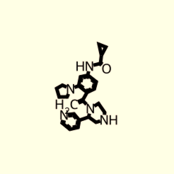 C=C(c1ccc(NC(=O)C2CC2)cc1N1CCCC1)N1CCNCC1c1cccnc1